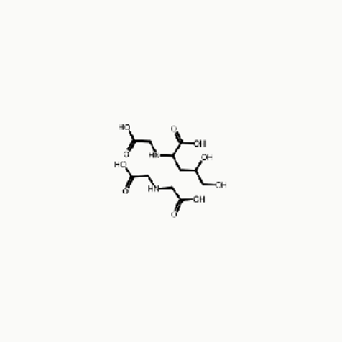 O=C(O)CNC(CC(O)CO)C(=O)O.O=C(O)CNCC(=O)O